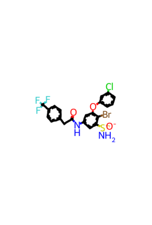 N[S+]([O-])c1cc(NC(=O)Cc2ccc(C(F)(F)F)cc2)cc(Oc2cccc(Cl)c2)c1Br